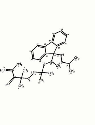 C=C(N)C(=O)C(C)(C)OBC(C)(C)OB(C)C1(BOC(C)C)c2ccccc2-c2ccccc21